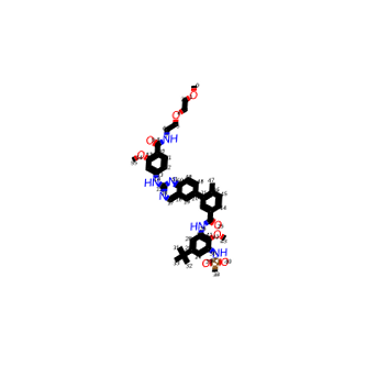 COCCOCCNC(=O)c1ccc(Nc2ncc3cc(-c4cc(C(=O)Nc5cc(C(C)(C)C)cc(NS(C)(=O)=O)c5OC)ccc4C)ccc3n2)cc1OC